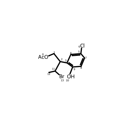 CC(=O)OCC(c1cc(Cl)ccc1O)C(C)Br